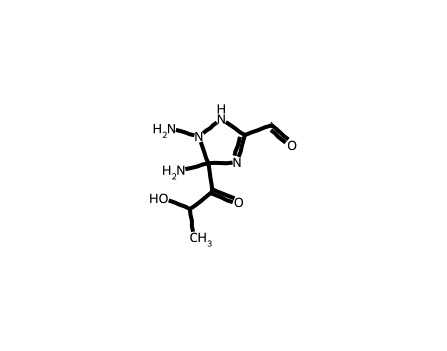 CC(O)C(=O)C1(N)N=C([C]=O)NN1N